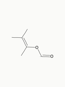 CC(C)=C(C)O[C]=O